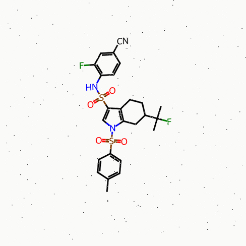 Cc1ccc(S(=O)(=O)n2cc(S(=O)(=O)Nc3ccc(C#N)cc3F)c3c2CC(C(C)(C)F)CC3)cc1